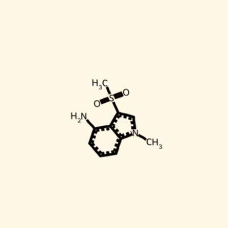 Cn1cc(S(C)(=O)=O)c2c(N)cccc21